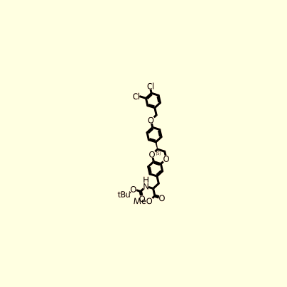 COC(=O)C(Cc1ccc2c(c1)OC[C@H](c1ccc(OCc3ccc(Cl)c(Cl)c3)cc1)O2)NC(=O)OC(C)(C)C